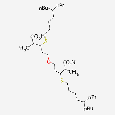 CCCCC(CCC)CCCCSC(CCOCCC(SCCCCC(CCC)CCCC)C(C)C(=O)O)C(C)C(=O)O